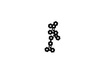 c1cc(-c2ccc(-n3c4ccccc4c4ccccc43)cc2)cc(-n2c3ccccc3c3ccc4c(c5ccccc5n4-c4cc5ccccc5c5ccccc45)c32)c1